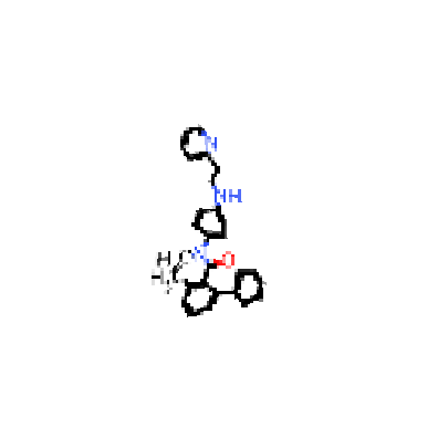 Cc1cccc(-c2ccccc2)c1C(=O)N(C)c1ccc(NCCc2ccccn2)cc1